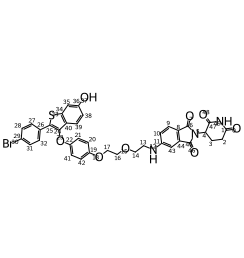 O=C1CCC(N2C(=O)c3ccc(NCCOCCOc4ccc(Oc5c(-c6ccc(Br)cc6)sc6cc(O)ccc56)cc4)cc3C2=O)C(=O)N1